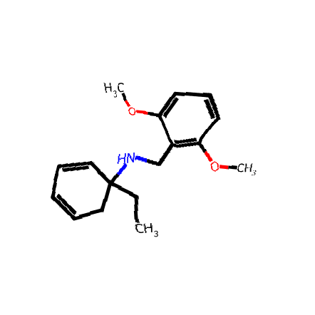 CCC1(NCc2c(OC)cccc2OC)C=CC=CC1